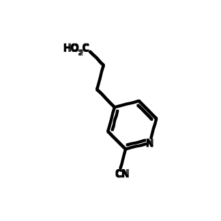 N#Cc1cc(CCC(=O)O)ccn1